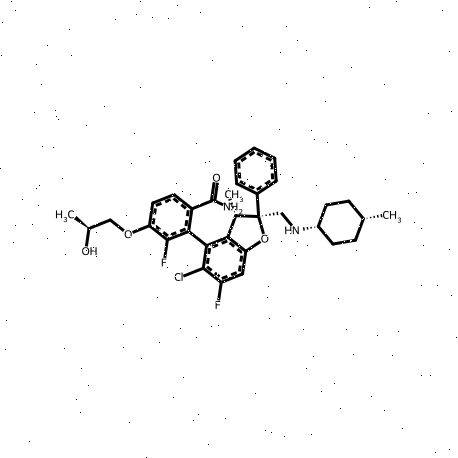 C[C@H](O)COc1ccc(C(N)=O)c(-c2c(Cl)c(F)cc3c2[C@H](C)[C@@](CN[C@H]2CC[C@@H](C)CC2)(c2ccccc2)O3)c1F